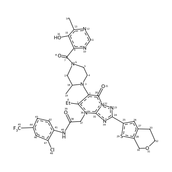 CCc1c(N2CCN(C(=O)c3ncnc(C)c3O)CC2C)c(=O)n2nc(-c3cc4c(s3)COCC4)nc2n1CC(=O)Nc1ccc(C(F)(F)F)cc1Cl